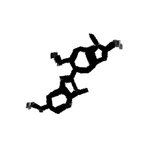 CCSc1cc2c(cc1-c1nc3cc(SC(F)(F)F)cnc3n1C)nc(C(F)(F)F)n2C